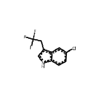 FC(F)(F)Cc1c[nH]c2ccc(Cl)cc12